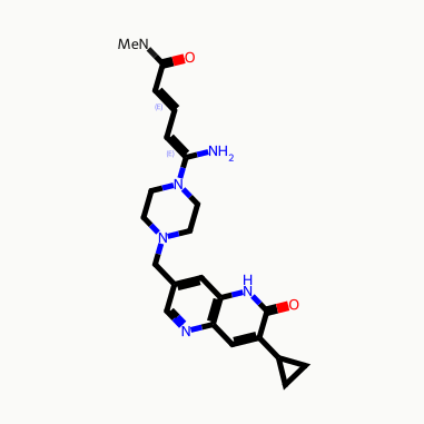 CNC(=O)/C=C/C=C(\N)N1CCN(Cc2cnc3cc(C4CC4)c(=O)[nH]c3c2)CC1